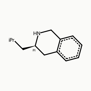 CC(C)C[C@@H]1Cc2ccccc2CN1